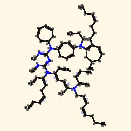 C=C/C=C\C/C=C(\C=C)N(/C(N=C)=N/C(=N\C)N(C1=CC=CC=CC1)C1=CC=C(n2c3c(c(CC/C=C\CC)c2CC)C=CCC(C)C3)C=CC1)/C(C=C)=C/C=C(\C)N(C/C=C\C=C/CCC)C(=C)/C=C\C